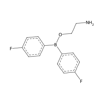 NCCOB(c1ccc(F)cc1)c1ccc(F)cc1